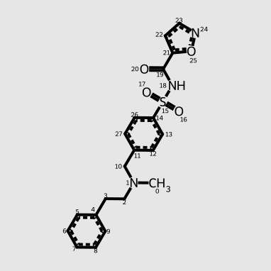 CN(CCc1ccccc1)Cc1ccc(S(=O)(=O)NC(=O)c2ccno2)cc1